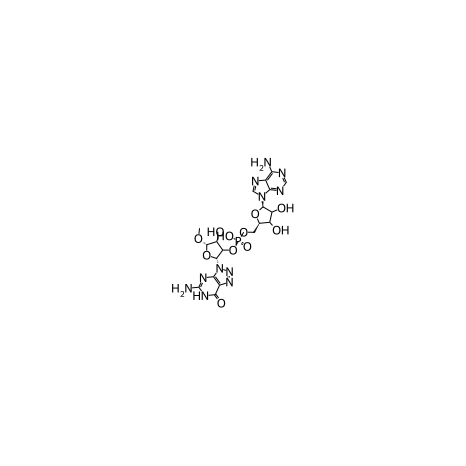 CO[C@H]1O[C@@H](n2nnc3c(=O)[nH]c(N)nc32)C(OP(=O)(O)OC[C@H]2O[C@@H](n3cnc4c(N)ncnc43)C(O)C2O)C1O